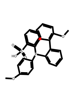 COc1ccc(P(c2ccccc2-c2c(OC)cccc2OC)c2ccccc2S(=O)(=O)O)cc1